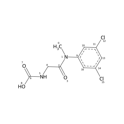 CN(C(=O)CNC(=O)O)c1cc(Cl)cc(Cl)c1